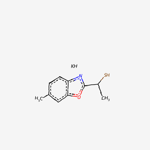 Cc1ccc2nc(C(C)S)oc2c1.[KH]